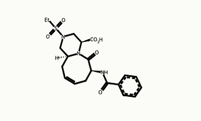 CCS(=O)(=O)N1C[C@@H]2CC=CC[C@H](NC(=O)c3ccccc3)C(=O)N2[C@H](C(=O)O)C1